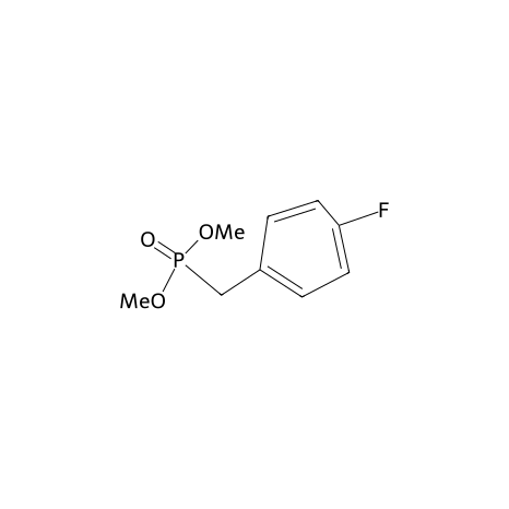 COP(=O)(Cc1ccc(F)cc1)OC